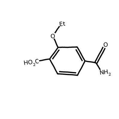 CCOc1cc(C(N)=O)ccc1C(=O)O